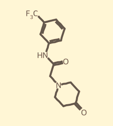 O=C1CCN(CC(=O)Nc2cccc(C(F)(F)F)c2)CC1